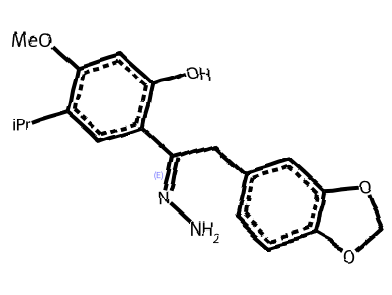 COc1cc(O)c(/C(Cc2ccc3c(c2)OCO3)=N/N)cc1C(C)C